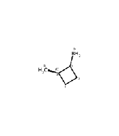 BC1CC[C@H]1C